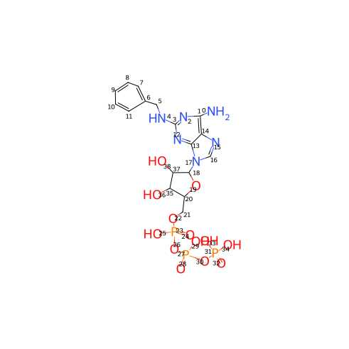 Nc1nc(NCc2ccccc2)nc2c1ncn2C1OC(COP(=O)(O)OP(=O)(O)OP(=O)(O)O)C(O)C1O